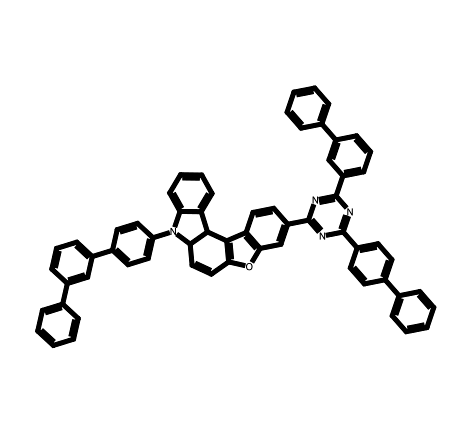 C1=CC2C(c3ccccc3N2c2ccc(-c3cccc(-c4ccccc4)c3)cc2)c2c1oc1cc(-c3nc(-c4ccc(-c5ccccc5)cc4)nc(-c4cccc(-c5ccccc5)c4)n3)ccc21